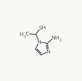 CC(S)n1ccnc1N